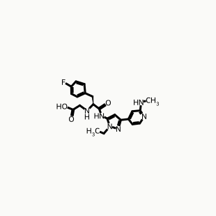 CCn1nc(-c2ccnc(NC)c2)cc1NC(=O)[C@H](Cc1ccc(F)cc1)NCC(=O)O